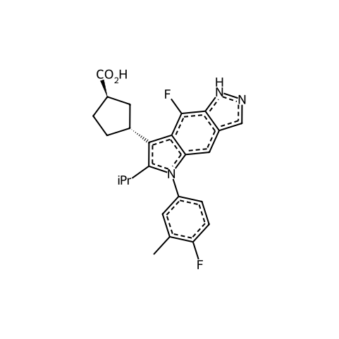 Cc1cc(-n2c(C(C)C)c([C@@H]3CC[C@@H](C(=O)O)C3)c3c(F)c4[nH]ncc4cc32)ccc1F